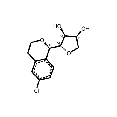 O[C@@H]1[C@@H]([C@@H]2OCCc3cc(Cl)ccc32)OC[C@@H]1O